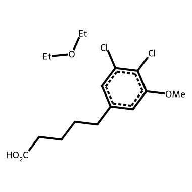 CCOCC.COc1cc(CCCCC(=O)O)cc(Cl)c1Cl